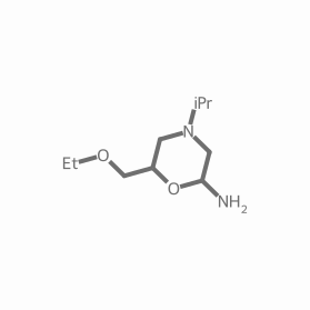 CCOCC1CN(C(C)C)CC(N)O1